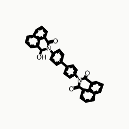 O=C1c2cccc3cccc(c23)C(=O)N1c1ccc(-c2ccc(N3C(=O)c4cccc5cccc(c45)C3O)cc2)cc1